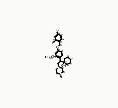 CN1CCN(CC(c2ccc(OCc3ccc(Br)cc3F)cc2)C2(O)CCCCC2)CC1.Cl.Cl